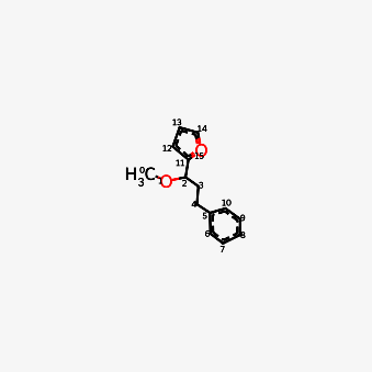 COC(CCc1ccccc1)c1ccco1